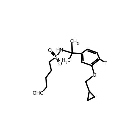 CC(C)(NS(=O)(=O)CCCCC=O)c1ccc(F)c(OCC2CC2)c1